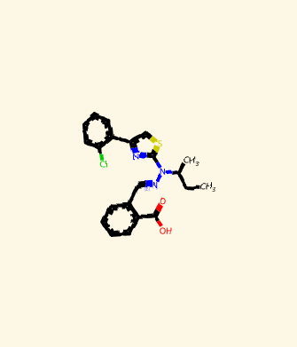 CCC(C)N(/N=C/c1ccccc1C(=O)O)c1nc(-c2ccccc2Cl)cs1